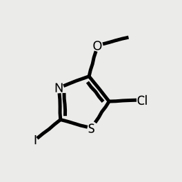 COc1nc(I)sc1Cl